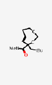 CNC(=O)C1(CC(C)(C)C)/C=C/CCCCC1